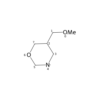 COCC1C[N]COC1